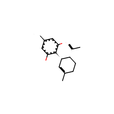 C=C(C)[C@@H]1CCC(C)=C[C@H]1c1c(O)cc(C(C)(C)C)cc1O